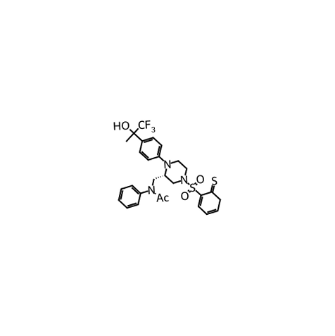 CC(=O)N(C[C@H]1CN(S(=O)(=O)C2=CC=CCC2=S)CCN1c1ccc(C(C)(O)C(F)(F)F)cc1)c1ccccc1